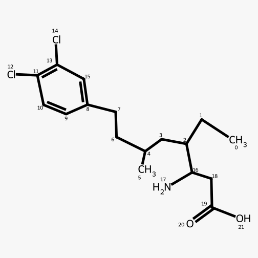 CCC(CC(C)CCc1ccc(Cl)c(Cl)c1)C(N)CC(=O)O